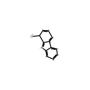 ClC1C=CC=C2C1=Nc1ccccc12